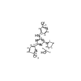 CC(C)(O)[C@H]1CCCN1c1nc(Nc2ccnc(C(F)(F)F)c2)nc(-c2cccc(C(F)(F)F)n2)n1